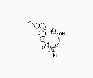 CCOC[C@H]1CC/C=C/[C@H](O)[C@@H]2CC[C@H]2CN2C[C@@]3(CCCc4cc(Cl)ccc43)COc3ccc(cc32)C(=O)NS1(=O)=O